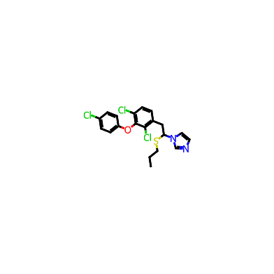 CCCSC(Cc1ccc(Cl)c(Oc2ccc(Cl)cc2)c1Cl)n1ccnc1